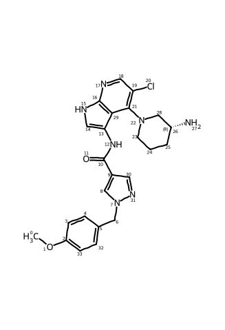 COc1ccc(Cn2cc(C(=O)Nc3c[nH]c4ncc(Cl)c(N5CCC[C@@H](N)C5)c34)cn2)cc1